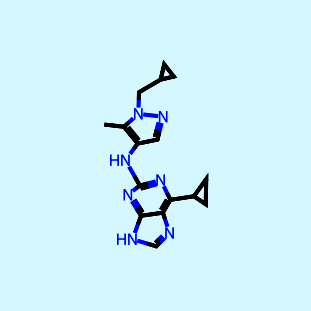 Cc1c(Nc2nc(C3CC3)c3nc[nH]c3n2)cnn1CC1CC1